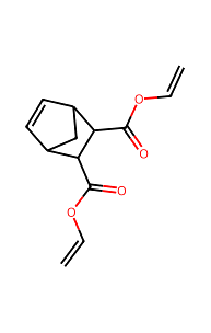 C=COC(=O)C1C2C=CC(C2)C1C(=O)OC=C